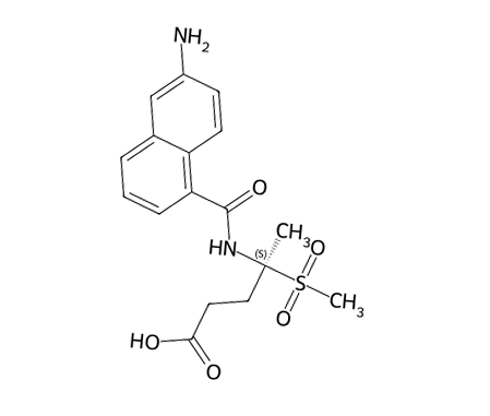 C[C@](CCC(=O)O)(NC(=O)c1cccc2cc(N)ccc12)S(C)(=O)=O